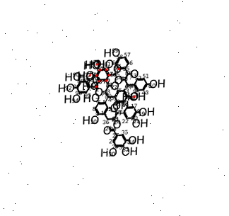 O=C(O[C@@H]1[C@H](c2c(O)cc(O)c3c2O[C@H](c2ccc(O)c(O)c2)[C@H](OC(=O)c2cc(O)c(O)c(O)c2)C3)c2c(O)cc(O)c([C@H]3c4c(O)cc(O)cc4O[C@H](c4ccc(O)c(O)c4)[C@@H]3OC(=O)c3cc(O)c(O)c(O)c3)c2O[C@@H]1c1ccc(O)c(O)c1)c1cc(O)c(O)c(O)c1